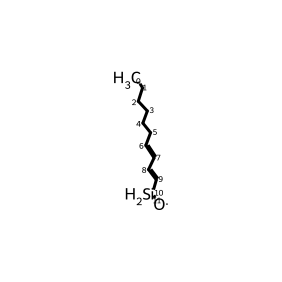 CCCCCCC=CC=C[SiH2][O]